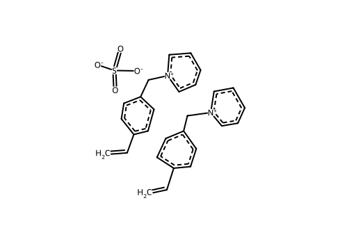 C=Cc1ccc(C[n+]2ccccc2)cc1.C=Cc1ccc(C[n+]2ccccc2)cc1.O=S(=O)([O-])[O-]